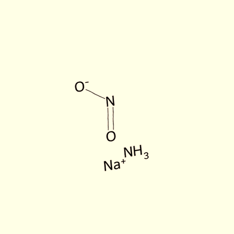 N.O=N[O-].[Na+]